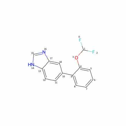 FC(F)Oc1ccccc1-c1ccc2[nH]cnc2c1